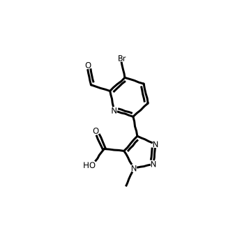 Cn1nnc(-c2ccc(Br)c(C=O)n2)c1C(=O)O